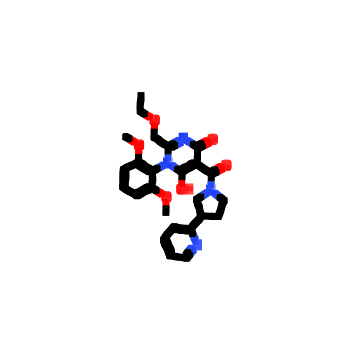 CCOCc1nc(=O)c(C(=O)N2CCC(c3ccccn3)C2)c(O)n1-c1c(OC)cccc1OC